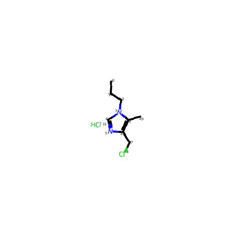 CCCn1cnc(CCl)c1C.Cl